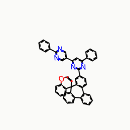 c1ccc(-c2cc(-c3cnc(-c4ccccc4)nc3)nc(-c3ccc4c(c3)C3(c5ccccc5Oc5ccccc53)c3ccccc3-c3ccccc3-4)n2)cc1